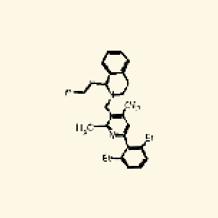 CCc1cccc(CC)c1-c1cc(C)c(CN2CCc3ccccc3C2CCC(C)C)c(C)n1